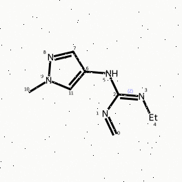 C=N/C(=N\CC)Nc1cnn(C)c1